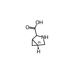 O=C(O)C1NC[C@@H]2CC12